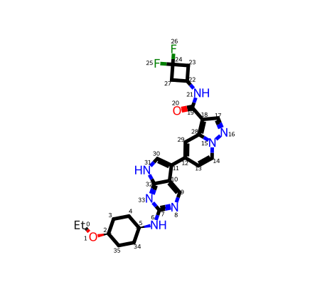 CCO[C@H]1CC[C@@H](Nc2ncc3c(-c4ccn5ncc(C(=O)NC6CC(F)(F)C6)c5c4)c[nH]c3n2)CC1